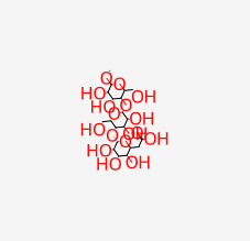 COC1OC(CO)[C@@H](O[C@@H]2OC(CO)[C@@H](O[C@@H]3OC(CC(=O)O)[C@@H](O)[C@H](O)C3O)[C@H](O)C2O)[C@H](O)C1O